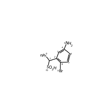 CCCC(c1cc(N)ccc1Br)S(=O)(=O)O